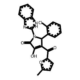 Cc1ccc(C(=O)C2=C(O)C(=O)N(c3nc4ccccc4[nH]3)C2c2ccccc2Cl)o1